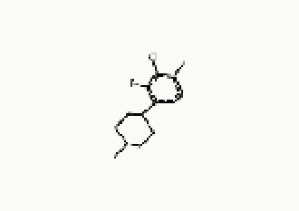 Cc1ccc(C2CCC(C)CC2)c(F)c1Cl